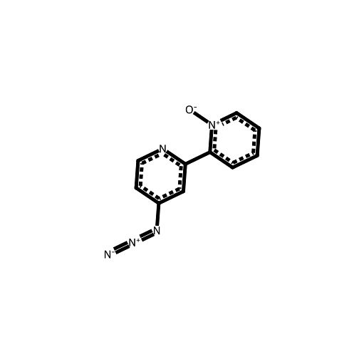 [N-]=[N+]=Nc1ccnc(-c2cccc[n+]2[O-])c1